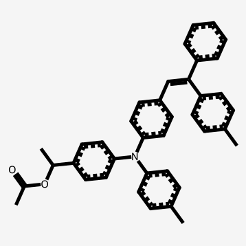 CC(=O)OC(C)c1ccc(N(c2ccc(C)cc2)c2ccc(C=C(c3ccccc3)c3ccc(C)cc3)cc2)cc1